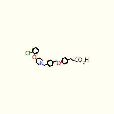 O=C(O)CCc1ccc(OCc2ccc(CN3CCC(Oc4ccccc4Cl)CC3)cc2)cc1